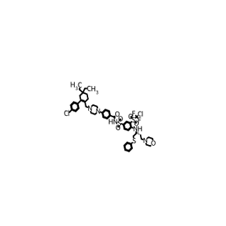 CCC1(CC)CCC(CN2CCN(c3ccc(C(=O)NS(=O)(=O)c4ccc(N[C@H](CCN5CCOCC5)CSc5ccccc5)c(S(=O)(=O)C(F)(F)Cl)c4)cc3)CC2)=C(c2ccc(Cl)cc2)C1